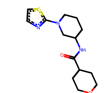 O=C(NC1CCCN(c2nccs2)C1)C1CCOCC1